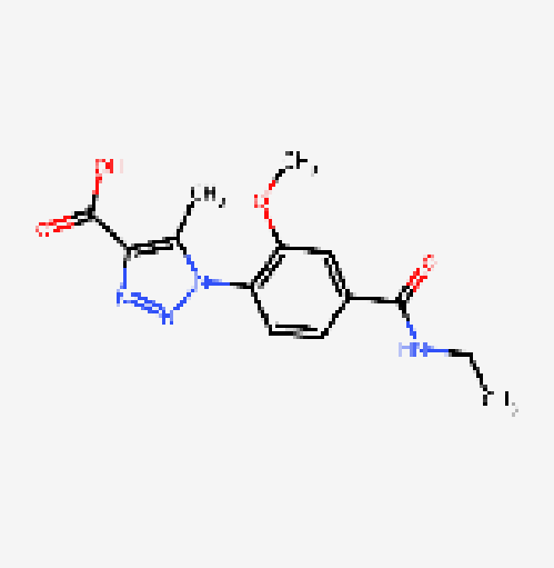 CCNC(=O)c1ccc(-n2nnc(C(=O)O)c2C)c(OC)c1